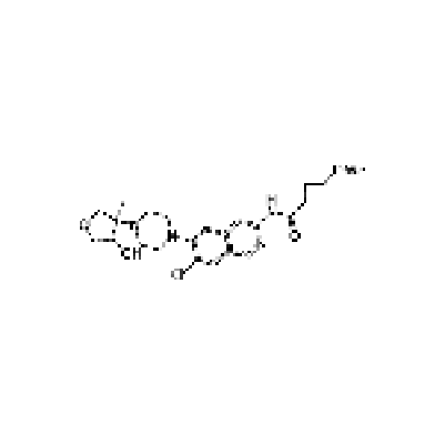 COC1CC(C(=O)Nc2cc3cc(N4CCN(C5(C)COCC5O)CC4)c(Cl)cc3cn2)C1